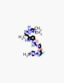 Cc1cnc(Nc2cc(C)n(C)n2)nc1-c1c[nH]c2c(NC(=O)CN3CCC(Oc4nc(N5CCN(C)CC5)ncc4F)C3)cccc12